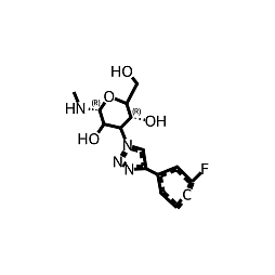 CN[C@@H]1OC(CO)[C@H](O)C(n2cc(-c3cccc(F)c3)nn2)C1O